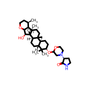 C[C@@H]1CCOC2C1[C@@]1(C)CCC34C[C@@]35CC[C@H](OC3CN([C@@H]6CCNC6=O)CCO3)C(C)(C)[C@@H]5CC[C@H]4C1(C)[C@H]2O